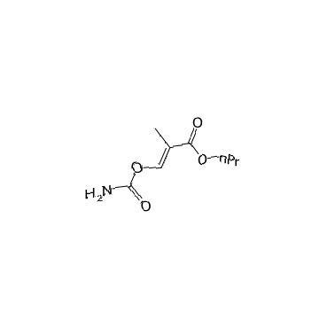 CCCOC(=O)C(C)=COC(N)=O